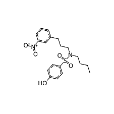 CCCCN(CCCc1cccc([N+](=O)[O-])c1)S(=O)(=O)c1ccc(O)cc1